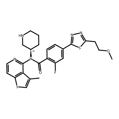 COCCc1nnc(-c2ccc(C(=O)N(c3nccc4scc(C)c34)[C@@H]3CCCNC3)c(F)c2)s1